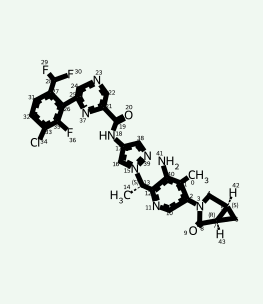 Cc1c(N2C[C@H]3C[C@H]3C2=O)cnc([C@H](C)n2cc(NC(=O)c3cncc(-c4c(C(F)F)ccc(Cl)c4F)n3)cn2)c1N